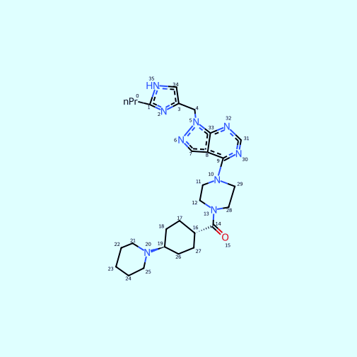 CCCc1nc(Cn2ncc3c(N4CCN(C(=O)[C@H]5CC[C@H](N6CCCCC6)CC5)CC4)ncnc32)c[nH]1